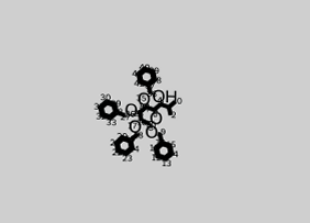 CC(C)C(O)C1O[C@H](OCc2ccccc2)C(OCc2ccccc2)C(OCc2ccccc2)[C@@H]1OCc1ccccc1